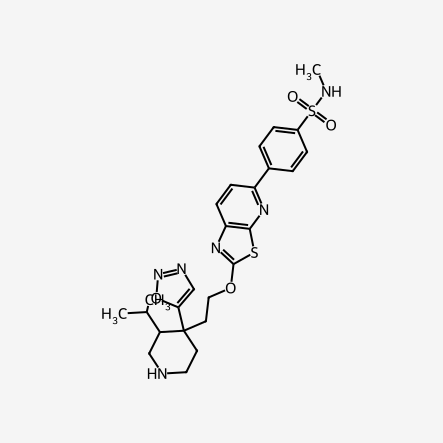 CNS(=O)(=O)c1ccc(-c2ccc3nc(OCCC4(c5cnno5)CCNCC4C(C)C)sc3n2)cc1